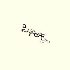 CN(C(=O)C(CO)OC1CCCC1)c1ccc2cc(-c3n[nH]c4c3CCC(C)(C)C4)[nH]c2c1